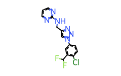 FC(F)c1cc(-n2cc(CNc3ncccn3)nn2)ccc1Cl